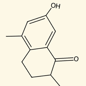 Cc1cc(O)cc2c1CCC(C)C2=O